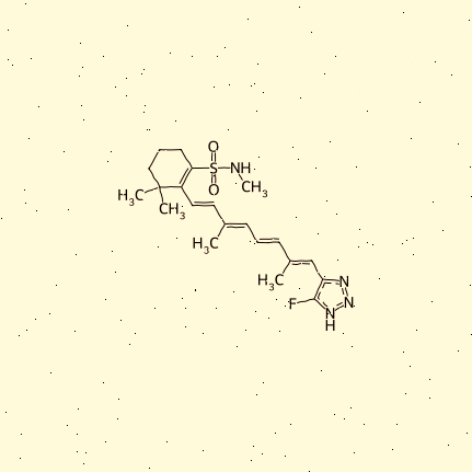 CNS(=O)(=O)C1=C(/C=C/C(C)=C/C=C/C(C)=C/c2nn[nH]c2F)C(C)(C)CCC1